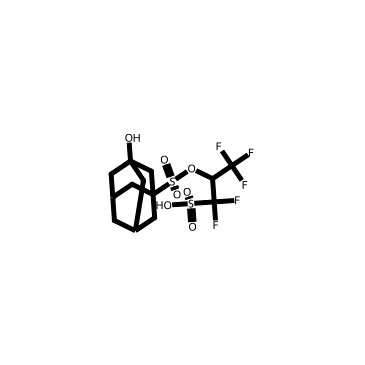 O=S(=O)(O)C(F)(F)C(OS(=O)(=O)C12CC3CC(CC(O)(C3)C1)C2)C(F)(F)F